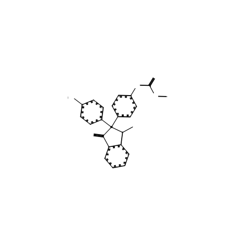 CC(C)OC(=O)Oc1ccc(C2(c3ccc(C(C)C)cc3)C(=O)c3ccccc3C2C)cc1